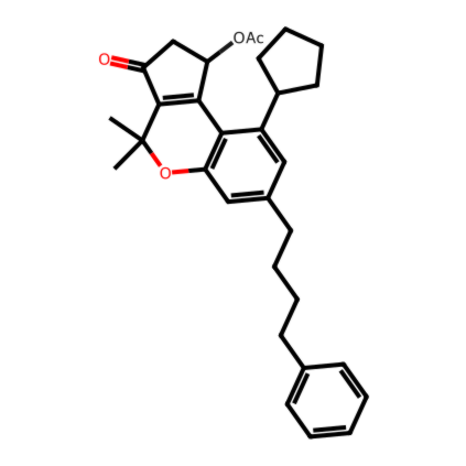 CC(=O)OC1CC(=O)C2=C1c1c(cc(CCCCc3ccccc3)cc1C1CCCC1)OC2(C)C